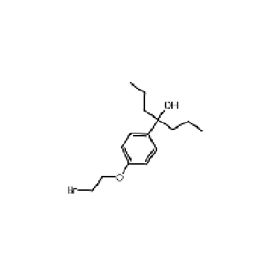 CCCC(O)(CCC)c1ccc(OCCBr)cc1